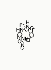 CC(C)c1[nH]c(=O)c(-c2cc(Cl)ccc2F)cc1Nc1ccnc(NC(=O)CN2CCCC2)c1